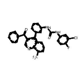 O=C(Nc1cccc(-c2c(C(=O)c3ccccc3)cnc3c(C(F)(F)F)cccc23)c1)Nc1ccc(F)c(Cl)c1